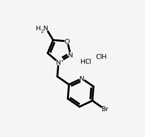 Cl.Cl.Nc1c[n+](Cc2ccc(Br)cn2)no1